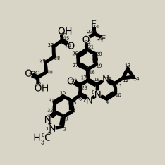 Cn1cc2cc(-c3nn4ccc(C5CC5)nc4c(-c4ccc(OC(F)F)cc4)c3=O)ccc2n1.O=C(O)CCCCC(=O)O